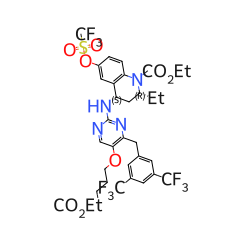 CCOC(=O)CCCOc1cnc(N[C@H]2C[C@@H](CC)N(C(=O)OCC)c3ccc(OS(=O)(=O)C(F)(F)F)cc32)nc1Cc1cc(C(F)(F)F)cc(C(F)(F)F)c1